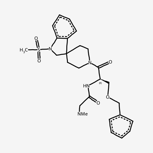 CNCC(=O)N[C@H](COCc1ccccc1)C(=O)N1CCC2(CC1)CN(S(C)(=O)=O)c1ccccc12